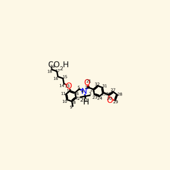 [2H]C(C)(C)N(Cc1cc(C)ccc1OCCCCCC(=O)O)C(=O)c1ccc(-c2ccco2)cc1